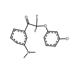 CN(C)c1cccc(C(=O)C(F)(F)Oc2cccc(Cl)c2)c1